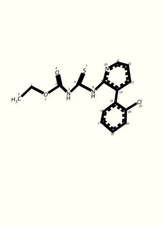 CCOC(=O)NC(=S)Nc1ncccc1-c1ccccc1Cl